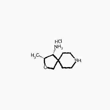 C[C@H]1OCC2(CCNCC2)[C@H]1N.Cl